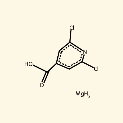 O=C(O)c1cc(Cl)nc(Cl)c1.[MgH2]